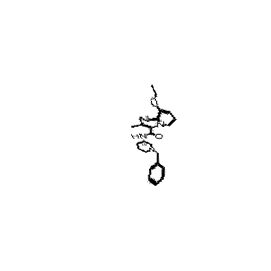 CCOc1cccn2c(C(=O)N[C@H]3CCCN(Cc4ccccc4)C3)c(C)nc12